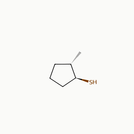 C[C@H]1CCC[C@@H]1S